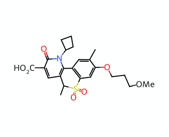 COCCCOc1cc2c(cc1C)-c1c(cc(C(=O)O)c(=O)n1C1CCC1)C(C)S2(=O)=O